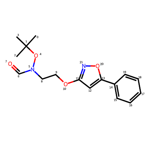 CC(C)(C)ON(C=O)CCOc1cc(-c2ccccc2)on1